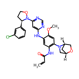 C=CC(=O)Nc1cc(Nc2cc(N3OCC[C@@H]3c3cccc(Cl)c3)ncn2)c(OC)cc1N1C[C@@H]2C[C@H]1CO2